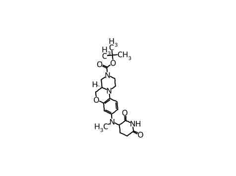 CN(c1ccc2c(c1)OC[C@H]1CN(C(=O)OC(C)(C)C)CCN21)C1CCC(=O)NC1=O